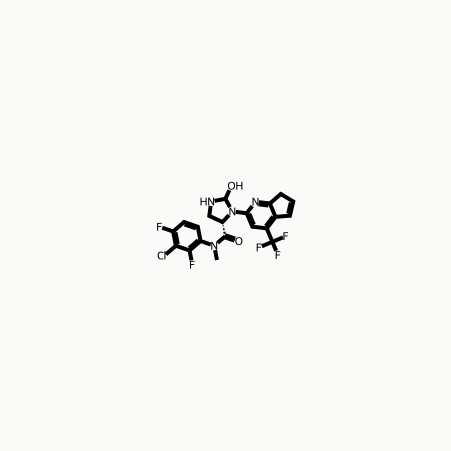 CN(C(=O)[C@@H]1CNC(O)N1c1cc(C(F)(F)F)c2c(n1)CC=C2)c1ccc(F)c(Cl)c1F